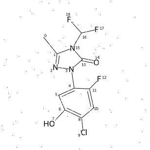 Cc1nn(-c2cc(O)c(Cl)cc2F)c(=O)n1C(F)F